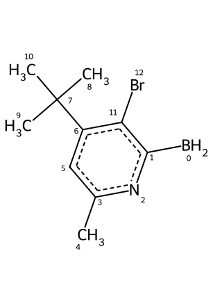 Bc1nc(C)cc(C(C)(C)C)c1Br